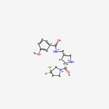 COc1cccc(C(=O)NCC2CN[C@H](C(=O)N3CCC(F)(F)C3)C2)c1